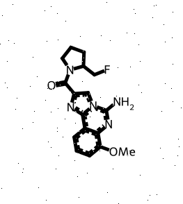 COc1cccc2c1nc(N)n1cc(C(=O)N3CCCC3CF)nc21